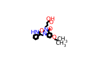 CC(C)COc1ccc2c(c1)c(=O)n(CCCC(=O)O)c(=O)n2Cc1c[nH]c2ccccc12